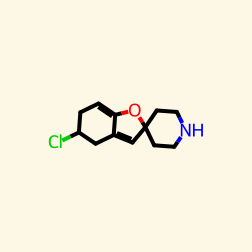 ClC1CC=C2OC3(C=C2C1)CCNCC3